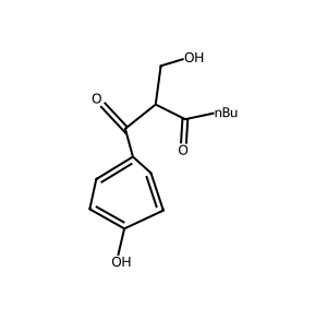 CCCCC(=O)C(CO)C(=O)c1ccc(O)cc1